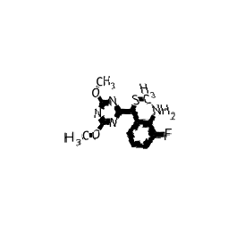 COc1nc(OC)nc(C(SC)c2cccc(F)c2N)n1